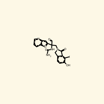 NC(=O)NC(C=O)(CN1Cc2ccc(O)c(I)c2C1=O)c1cc2ncccc2o1